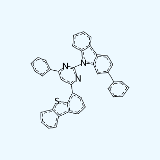 c1ccc(-c2ccc3c4ccccc4n(-c4nc(-c5ccccc5)cc(-c5cccc6c5sc5ccccc56)n4)c3c2)cc1